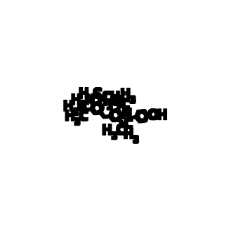 CCc1cc(Cc2cc(C(C)C)c(N)c(C(C)C)c2)cc(C(C)C)c1/N=C(\C)c1ccc(O)cc1